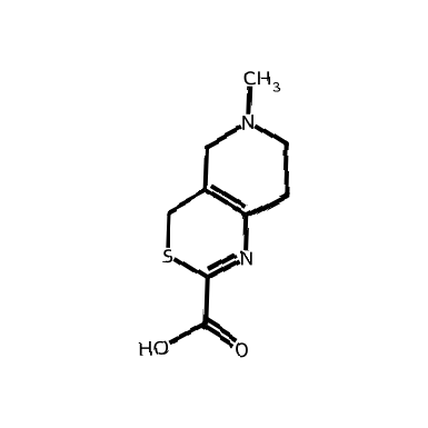 CN1CCC2=C(CSC(C(=O)O)=N2)C1